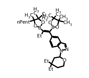 CCCCCC1(C)OB(/C(CC)=C(\B2OC(C)(C)C(C)(C)O2)c2ccc3c(cnn3C3CC(CC)(CC)CCO3)c2)OC1(C)C